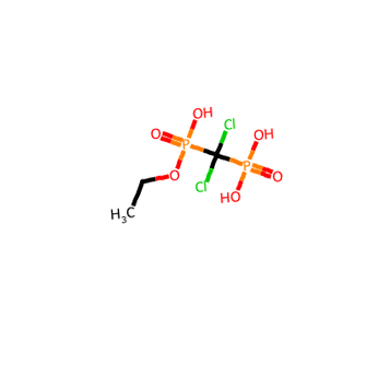 CCOP(=O)(O)C(Cl)(Cl)P(=O)(O)O